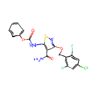 NC(=O)c1c(OCc2c(F)cc(Cl)cc2F)nsc1NC(=O)Oc1ccccc1